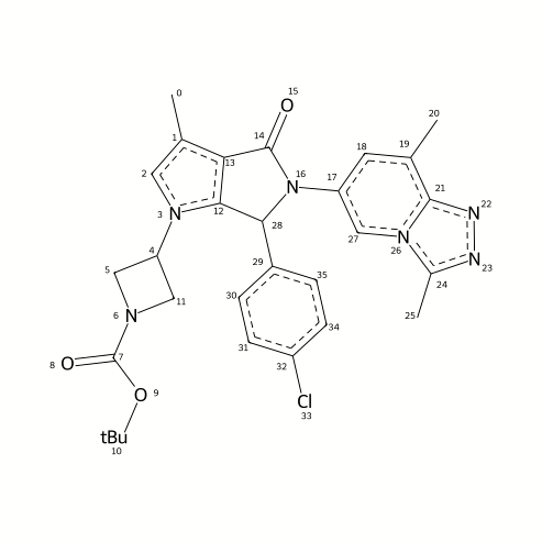 Cc1cn(C2CN(C(=O)OC(C)(C)C)C2)c2c1C(=O)N(c1cc(C)c3nnc(C)n3c1)C2c1ccc(Cl)cc1